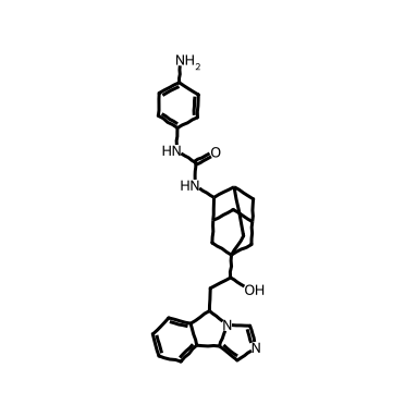 Nc1ccc(NC(=O)NC2C3CC4CC2CC(C(O)CC2c5ccccc5-c5cncn52)(C4)C3)cc1